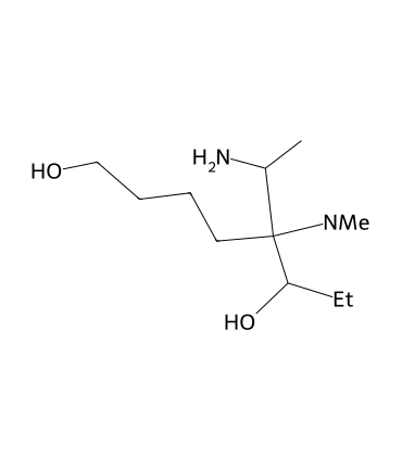 CCC(O)C(CCCCO)(NC)C(C)N